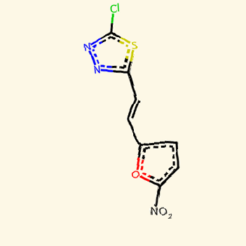 O=[N+]([O-])c1ccc(C=Cc2nnc(Cl)s2)o1